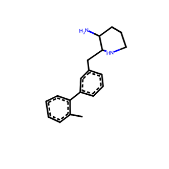 Cc1ccccc1-c1cccc(CC2NCCCC2N)c1